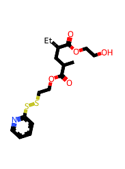 CCC(CC(C)C(=O)OCCSSc1ccccn1)C(=O)OCCO